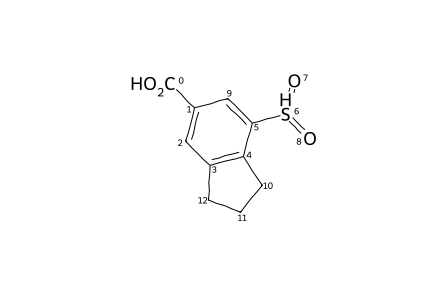 O=C(O)c1cc2c(c([SH](=O)=O)c1)CCC2